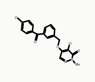 CC(C)(C)n1ncc(OCc2cccc(C(=O)c3ccc(Cl)cc3)c2)c(Cl)c1=O